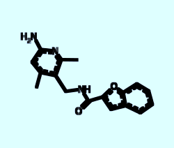 Cc1cc(N)nc(C)c1CNC(=O)c1cc2ccccc2o1